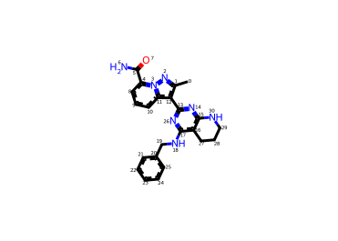 Cc1nn2c(C(N)=O)cccc2c1-c1nc2c(c(NCc3ccccc3)n1)CCCN2